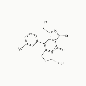 CCn1nc(CC(C)C)c2c(-c3cccc(C(F)(F)F)c3)c3n(c(=O)c21)[C@H](C(=O)O)CS3